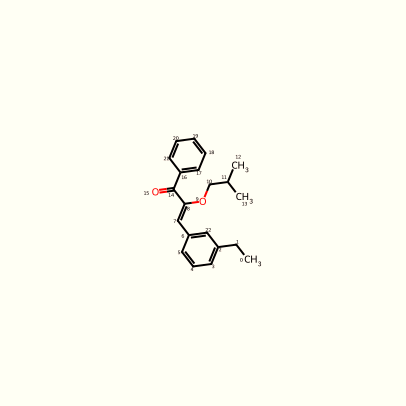 CCc1cccc(C=C(OCC(C)C)C(=O)c2ccccc2)c1